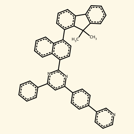 CC1(C)c2ccccc2-c2cccc(-c3ccc(-c4nc(-c5ccccc5)cc(-c5ccc(-c6cccnc6)cc5)n4)c4ccccc34)c21